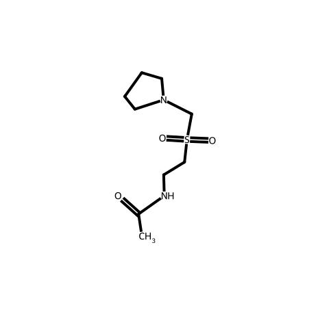 CC(=O)NCCS(=O)(=O)CN1CCCC1